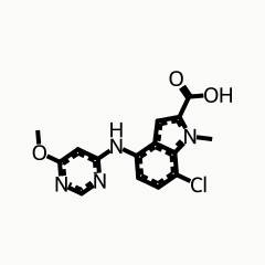 COc1cc(Nc2ccc(Cl)c3c2cc(C(=O)O)n3C)ncn1